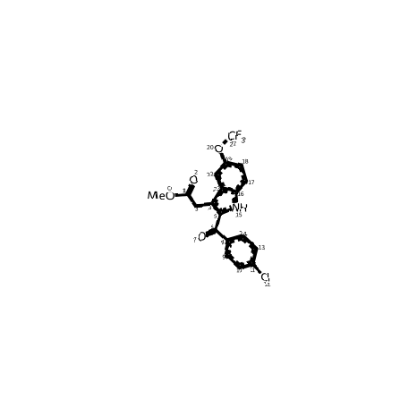 COC(=O)Cc1c(C(=O)c2ccc(Cl)cc2)[nH]c2ccc(OC(F)(F)F)cc12